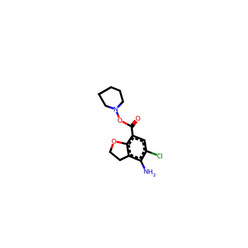 Nc1c(Cl)cc(C(=O)ON2CCCCC2)c2c1CCO2